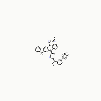 C=C(/C=C\C=C/C)c1ccccc1N(C(=C)/C=C\C=C(/CC)c1cccc(B2OC(C)(C)C(C)(C)O2)c1)c1ccc2c(c1)C(C)(C)c1ccccc1-2